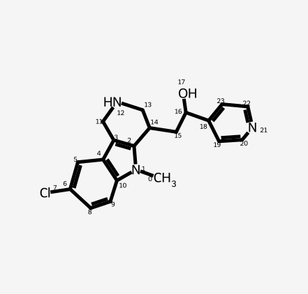 Cn1c2c(c3cc(Cl)ccc31)CNCC2CC(O)c1ccncc1